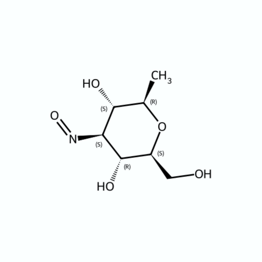 C[C@H]1O[C@@H](CO)[C@H](O)[C@@H](N=O)[C@@H]1O